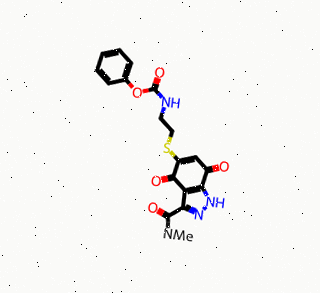 CNC(=O)c1n[nH]c2c1C(=O)C(SCCNC(=O)Oc1ccccc1)=CC2=O